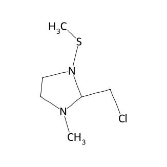 CSN1CCN(C)C1CCl